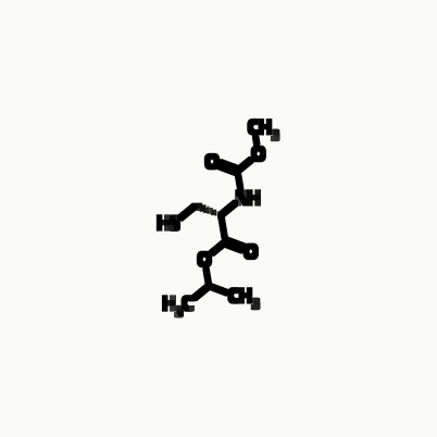 COC(=O)N[C@@H](CS)C(=O)OC(C)C